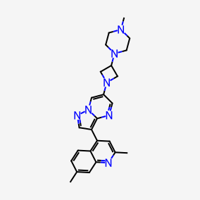 Cc1ccc2c(-c3cnn4cc(N5CC(N6CCN(C)CC6)C5)cnc34)cc(C)nc2c1